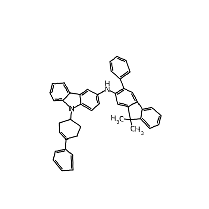 CC1(C)c2ccccc2-c2cc(-c3ccccc3)c(Nc3ccc4c(c3)c3ccccc3n4C3CC=C(c4ccccc4)CC3)cc21